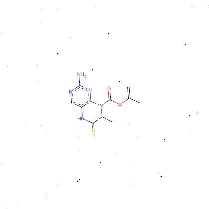 C=C(C)OC(=O)N1c2nc(N)ncc2NC(=S)C1C